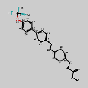 C=C(CC)CCC1CCC(CCC2CC=C(c3ccc(OC(F)(F)F)cc3)CC2)CC1